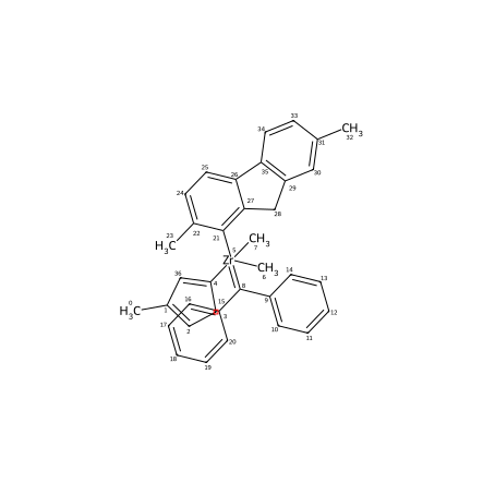 CC1=CC[C]([Zr]([CH3])([CH3])(=[C](c2ccccc2)c2ccccc2)[c]2c(C)ccc3c2Cc2cc(C)ccc2-3)=C1